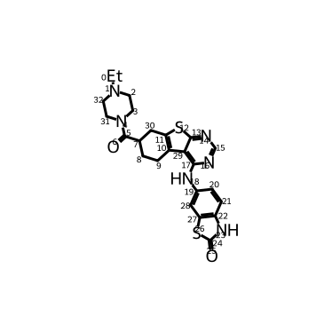 CCN1CCN(C(=O)C2CCc3c(sc4ncnc(Nc5ccc6[nH]c(=O)sc6c5)c34)C2)CC1